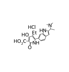 CCc1c(-c2ccc3cc(C(C)N(C)C)[nH]c3c2)[nH]c(=O)c(C(=O)O)c1O.Cl